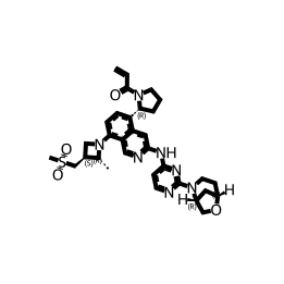 C=CC(=O)N1CCC[C@@H]1c1ccc(N2C[C@H](CS(C)(=O)=O)[C@H]2C)c2cnc(Nc3ccnc(N4CC[C@H]5C[C@@H]4CO5)n3)cc12